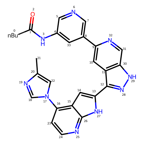 CCCCC(=O)Nc1cncc(-c2cc3c(-c4cc5c(-n6cnc(C)c6)ccnc5[nH]4)n[nH]c3cn2)c1